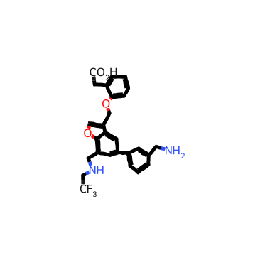 NCc1cccc(-c2cc(CNCC(F)(F)F)c3occ(COc4ccccc4CC(=O)O)c3c2)c1